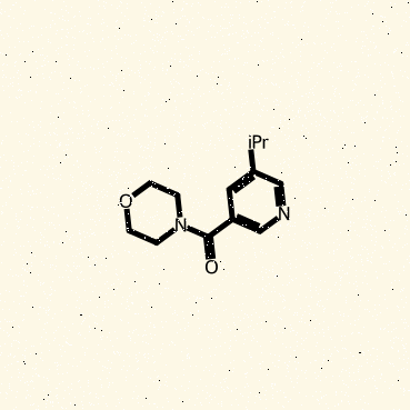 CC(C)c1cncc(C(=O)N2CCOCC2)c1